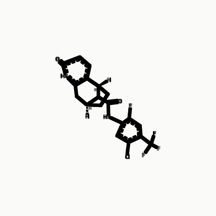 O=C(Nc1cc(Cl)c(C(F)(F)F)cc1F)C1[C@H]2CC[C@H]1c1ccc(=O)[nH]c1C2